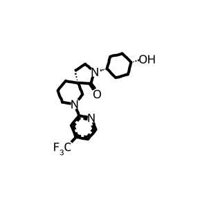 O=C1N([C@H]2CC[C@@H](O)CC2)CC[C@]12CCCN(c1cc(C(F)(F)F)ccn1)C2